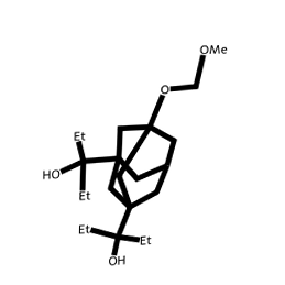 CCC(O)(CC)C12CC3CC(OCOC)(C1)CC(C(O)(CC)CC)(C3)C2